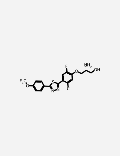 N[C@H](CO)COc1cc(Cl)c(-c2nnc(-c3ccc(OC(F)(F)F)cc3)s2)cc1F